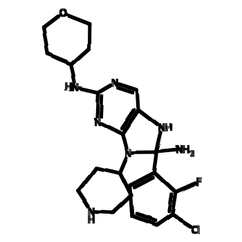 NC1(c2cccc(Cl)c2F)Nc2cnc(NC3CCOCC3)nc2N1C1CCNCC1